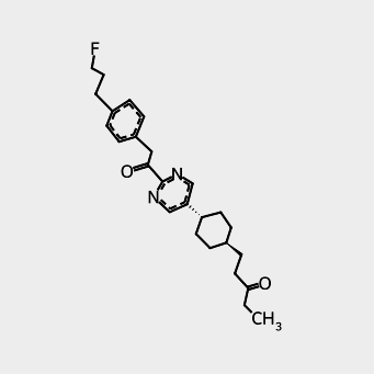 CCC(=O)CC[C@H]1CC[C@H](c2cnc(C(=O)Cc3ccc(CCCF)cc3)nc2)CC1